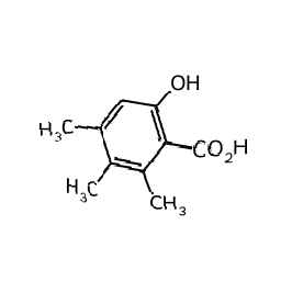 Cc1cc(O)c(C(=O)O)c(C)c1C